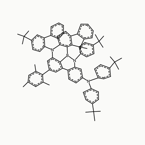 Cc1cc(C)c(-c2cc3c4c(c2)N(c2ccc(C(C)(C)C)cc2-c2ccccc2)c2ccc5c(c2B4N(c2ccc(C(C)(C)C)cc2)c2cc(N(c4ccc(C(C)(C)C)cc4)c4ccc(C(C)(C)C)cc4)ccc2-3)C(C)(C)c2ccccc2-5)c(C)c1